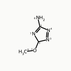 COC1N=NC(N)=N1